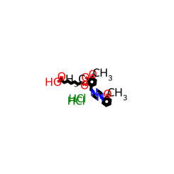 COc1ccccc1N1CCN(Cc2ccc(OC)c(OC)c2OCCCCCCC(=O)O)CC1.Cl.Cl